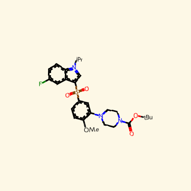 COc1ccc(S(=O)(=O)c2cn(C(C)C)c3ccc(F)cc23)cc1N1CCN(C(=O)OC(C)(C)C)CC1